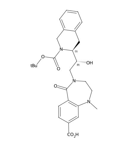 CN1CCN(C[C@@H](O)[C@@H]2Cc3ccccc3CN2C(=O)OC(C)(C)C)C(=O)c2ccc(C(=O)O)cc21